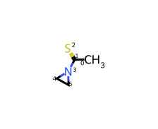 CC(=S)N1CC1